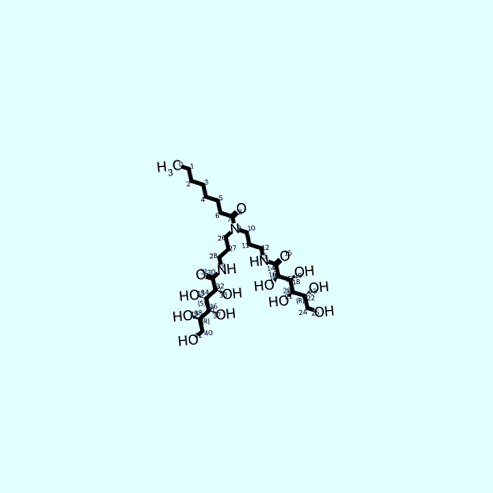 CCCCCCCC(=O)N(CCCNC(=O)[C@H](O)[C@@H](O)[C@H](O)[C@H](O)CO)CCCNC(=O)[C@H](O)[C@@H](O)[C@H](O)[C@H](O)CO